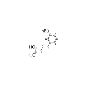 CCCCc1cccc(CCCC(C)O)c1